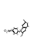 CC1=Cc2ccc(C)cc2C1c1ccc([N+](=O)[O-])cc1